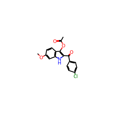 COc1ccc2c(OC(C)=O)c(C(=O)c3ccc(Cl)cc3)[nH]c2c1